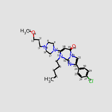 CCCCCn1c(N2CCN(CCCOC)CC2)cc(=O)n2cc(-c3ccc(Cl)cc3)nc12